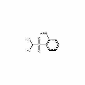 CC(=O)Nc1ccccc1S(=O)(=O)C(C)O